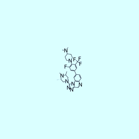 CC1CN(c2nnc3cnc4ccc(-c5cc(F)c(N6CCC(N(C)C)CC6)c(C(F)(F)F)c5)cc4n23)C[C@H](C)N1C